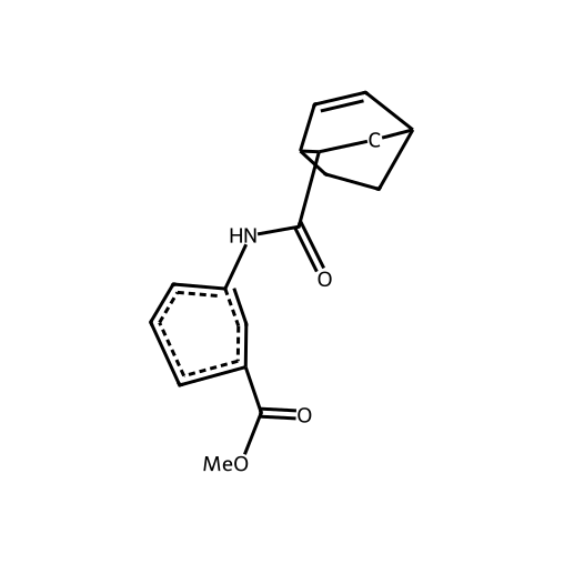 COC(=O)c1cccc(NC(=O)C2CC3C=CC2CC3)c1